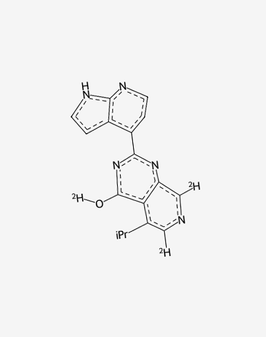 [2H]Oc1nc(-c2ccnc3[nH]ccc23)nc2c([2H])nc([2H])c(C(C)C)c12